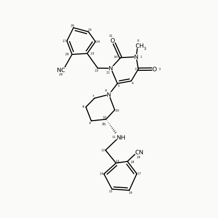 Cn1c(=O)cc(N2CCC[C@@H](NCc3ccccc3C#N)C2)n(Cc2ccccc2C#N)c1=O